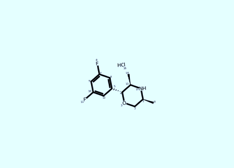 C[C@H]1CO[C@H](c2cc(F)cc(F)c2)[C@@H](C)N1.Cl